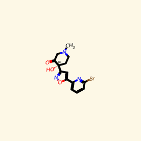 CN1CC[C@@](O)(c2cc(-c3cccc(Br)n3)on2)C(=O)C1